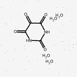 O.O.O.O.O=C1NC(=O)C(=O)C(=O)N1